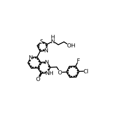 O=c1[nH]c(COc2ccc(Cl)c(F)c2)nc2c(-c3csc(NCCO)n3)nccc12